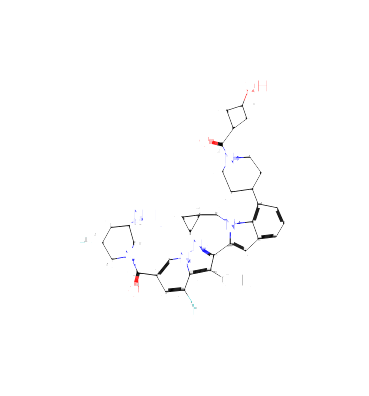 Cc1c(-c2cc3cccc(C4CCN(C(=O)C5CC(O)C5)CC4)c3n2CC2CC2)nn2cc(C(=O)N3C[C@H](N)C[C@@H](F)C3)cc(F)c12